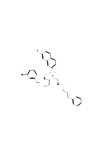 COc1ccc2ccc(S(=O)(=O)N(CC(=O)NCCCc3ccccc3)[C@H]3CCN(Cc4cccc(C(=N)N)c4)C3=O)cc2c1